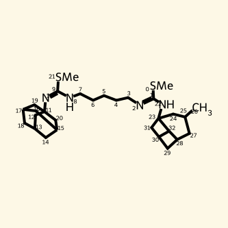 CS/C(=N\CCCCCN/C(=N\C12CC3CC(CC(C3)C1)C2)SC)NC12CC(C)CC3CC(C1)C32